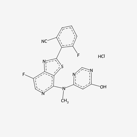 CN(c1cc(O)ncn1)c1ncc(F)c2nc(-c3c(F)cccc3C#N)sc12.Cl